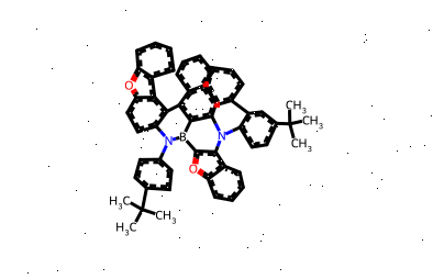 CC(C)(C)c1ccc(N2B3c4oc5ccccc5c4N(c4ccc(C(C)(C)C)cc4-c4ccccc4)c4cc5ccccc5c(c43)-c3c2ccc2oc4ccccc4c32)cc1